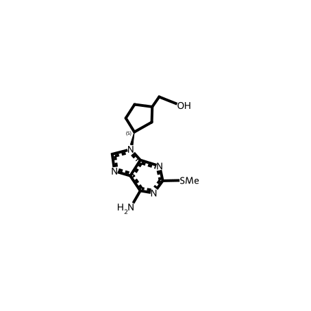 CSc1nc(N)c2ncn([C@H]3CCC(CO)C3)c2n1